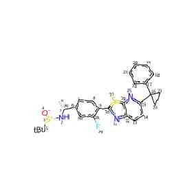 C[C@@H](N[S+]([O-])C(C)(C)C)c1ccc(-c2nc3ccc(C4(c5ccccc5)CC4)nc3s2)c(F)c1